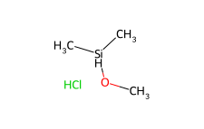 CO[SiH](C)C.Cl